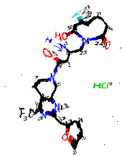 Cl.NC(CC(=O)N1CCc2c(nc(-c3ccco3)nc2C(F)(F)F)C1)CN1C(=O)CCC(F)C1O